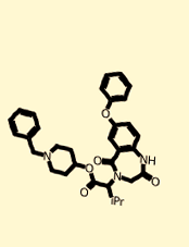 CC(C)C(C(=O)OC1CCN(Cc2ccccc2)CC1)N1CC(=O)Nc2ccc(Oc3ccccc3)cc2C1=O